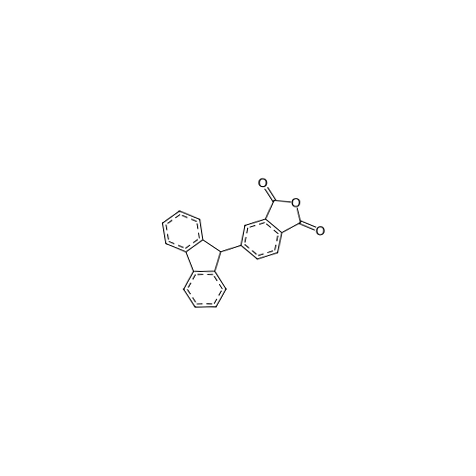 O=C1OC(=O)c2cc(C3c4ccccc4-c4ccccc43)ccc21